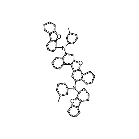 Cc1cccc(N(c2cc3c(oc4cc(N(c5cccc(C)c5)c5cccc6c5oc5ccccc56)c5ccccc5c43)c3ccccc23)c2cccc3c2oc2ccccc23)c1